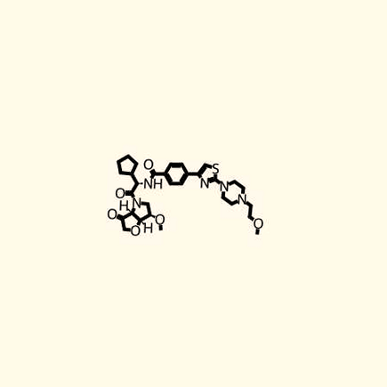 COCCN1CCN(c2nc(-c3ccc(C(=O)N[C@H](C(=O)N4C[C@@H](OC)[C@H]5OCC(=O)[C@H]54)C4CCCC4)cc3)cs2)CC1